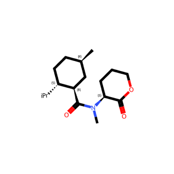 CC(C)[C@@H]1CC[C@@H](C)C[C@H]1C(=O)N(C)[C@H]1CCCOC1=O